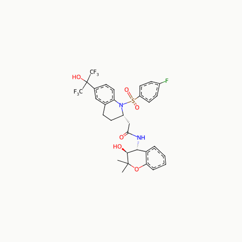 CC1(C)Oc2ccccc2[C@@H](NC(=O)C[C@@H]2CCc3cc(C(O)(C(F)(F)F)C(F)(F)F)ccc3N2S(=O)(=O)c2ccc(F)cc2)[C@@H]1O